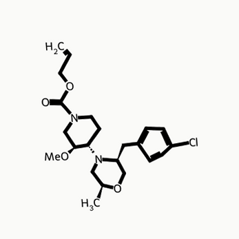 C=CCOC(=O)N1CC[C@H](N2C[C@H](C)OC[C@@H]2Cc2ccc(Cl)cc2)[C@@H](OC)C1